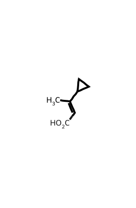 CC(=CC(=O)O)C1CC1